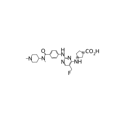 CN1CCC(N(C)C(=O)c2ccc(Nc3ncc(CF)c(N[C@@H]4CC[C@H](C(=O)O)C4)n3)cc2)CC1